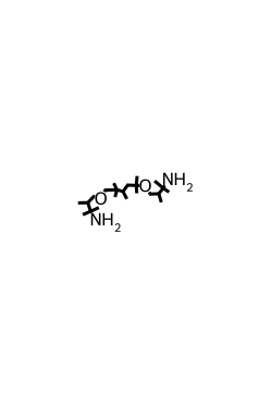 CC(COCC(C)(C)C(C)CC(C)(C)OCC(C)C(C)(C)N)C(C)(C)N